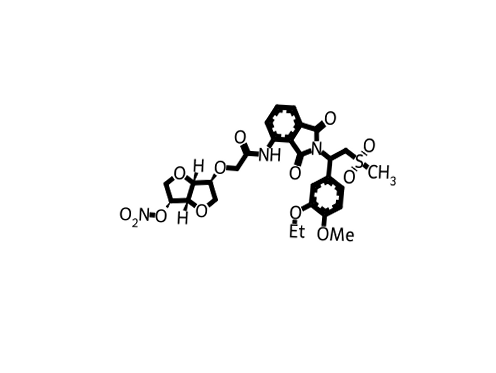 CCOc1cc(C(CS(C)(=O)=O)N2C(=O)c3cccc(NC(=O)CO[C@H]4CO[C@H]5[C@@H]4OC[C@H]5O[N+](=O)[O-])c3C2=O)ccc1OC